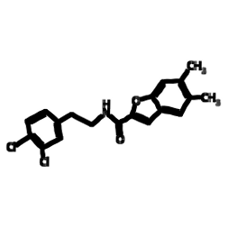 Cc1cc2cc(C(=O)NCCc3ccc(Cl)c(Cl)c3)oc2cc1C